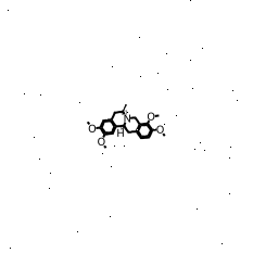 COc1cc2c(cc1OC)[C@@H]1Cc3ccc(OC)c(OC)c3CN1[C@H](C)C2